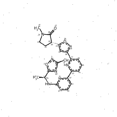 Cc1noc([C@H](C)Nc2nccc(-c3cccc(-c4cc([C@@H]5CCN(C)C5=O)on4)n3)n2)n1